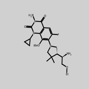 CCOC[C@H](N)[C@H]1CN(c2c(F)cc3c(=O)n(N)c(=O)n(C4CC4)c3c2OC)CC1(C)C